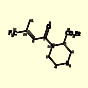 CCOC(=O)C1CSCCN1C(=O)/C=C(\C)C(F)(F)F